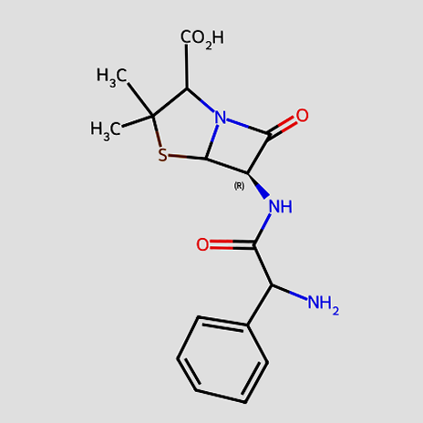 CC1(C)SC2[C@H](NC(=O)C(N)c3ccccc3)C(=O)N2C1C(=O)O